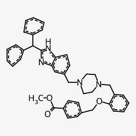 COC(=O)c1ccc(COc2ccccc2CN2CCN(Cc3ccc4[nH]c(C(c5ccccc5)c5ccccc5)nc4c3)CC2)cc1